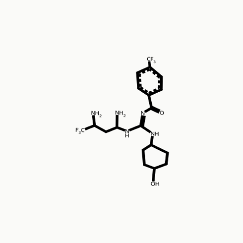 NC(CC(N)C(F)(F)F)N/C(=N/C(=O)c1ccc(C(F)(F)F)cc1)NC1CCC(O)CC1